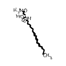 CCCCCC=CCC=CCC=CCC=CCCCC(=O)N[C@@H](CCC(N)=O)C(=O)O